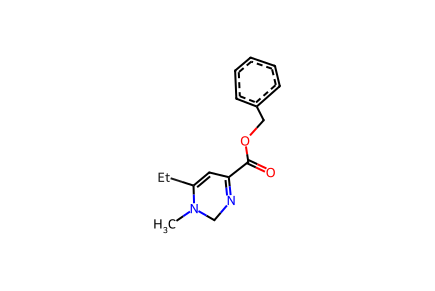 CCC1=CC(C(=O)OCc2ccccc2)=NCN1C